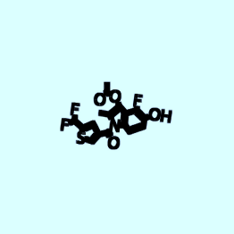 CC(=O)Oc1c(C)n(C(=O)c2csc(C(F)F)c2)c2ccc(O)c(F)c12